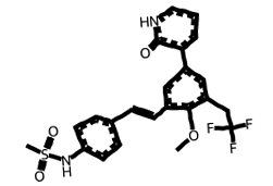 COc1c(C=Cc2ccc(NS(C)(=O)=O)cc2)cc(-c2ccc[nH]c2=O)cc1CC(F)(F)F